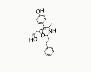 CC(NC(=O)CCc1ccccc1)[C@@H](OC[C@@H](C)O)c1ccc(O)cc1